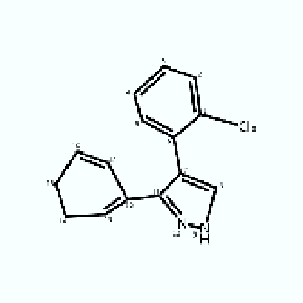 Clc1ccccc1-c1c[nH]nc1C1=CCCC=C1